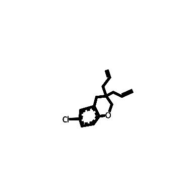 C=CCC1(CC=C)COc2ccc(Cl)cc2C1